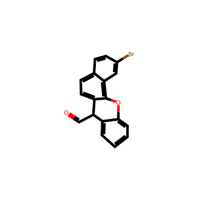 O=CC1c2ccccc2Oc2c1ccc1ccc(Br)cc21